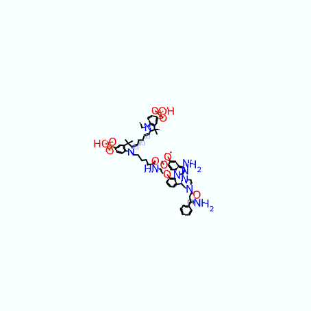 CC[N+]1=C(/C=C/C=C/C=C2/N(CCCCCC(=O)NCCOc3cccc(C4CN(C(=O)C[C@@H](N)c5ccccc5)CCN4c4nc(N)c5cc(OC)c(OC)cc5n4)c3)c3ccc(S(=O)(=O)O)cc3C2(C)C)C(C)(C)c2cc(S(=O)(=O)O)ccc21